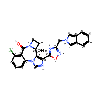 O=C1c2c(Cl)cccc2-n2cnc(-c3nc(Cn4cc5ccccc5c4)no3)c2[C@@H]2CCN12